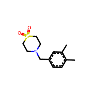 Cc1ccc(CN2CCS(=O)(=O)CC2)cc1C